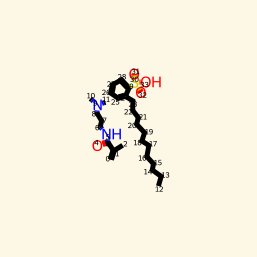 C=C(C)C(=O)NCCCN(C)C.CCCCCCCCCCCCc1ccccc1S(=O)(=O)O